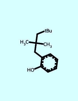 CC(C)(C)CC(C)(C)Cc1ccccc1O